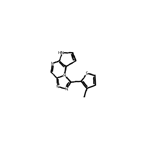 Cc1ccsc1-c1nnc2cnc3[nH]ccc3n12